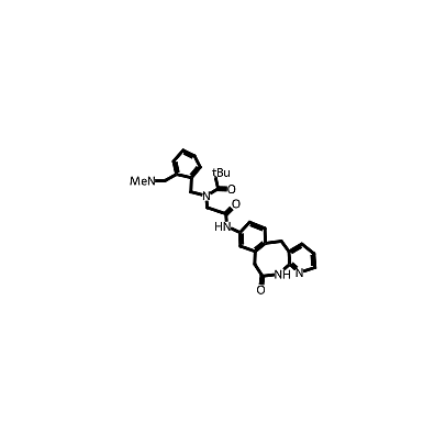 CNCc1ccccc1CN(CC(=O)Nc1ccc2c(c1)CC(=O)Nc1ncccc1C2)C(=O)C(C)(C)C